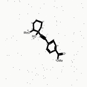 COC(=O)c1ccc(C#CC2(O)CCCCC2OC)cc1